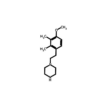 COc1ccc(CCN2CCNCC2)c(C)c1C